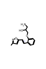 Cc1cc(/C=C/c2ccccc2OCC(O)CN)on1